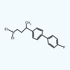 CCN(CC)CCC(C)c1ccc(-c2ccc(F)cc2)cc1